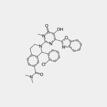 CN(C)C(=O)c1ccc2c(c1)C(c1ccccc1Cl)N(c1nc(-c3nc4ccccc4o3)c(O)c(=O)n1C)CC2